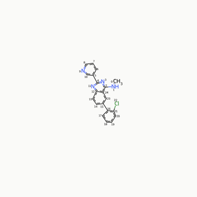 CNc1nc(-c2cccnc2)nc2ccc(-c3ccccc3Cl)cc12